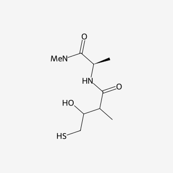 CNC(=O)[C@@H](C)NC(=O)C(C)C(O)CS